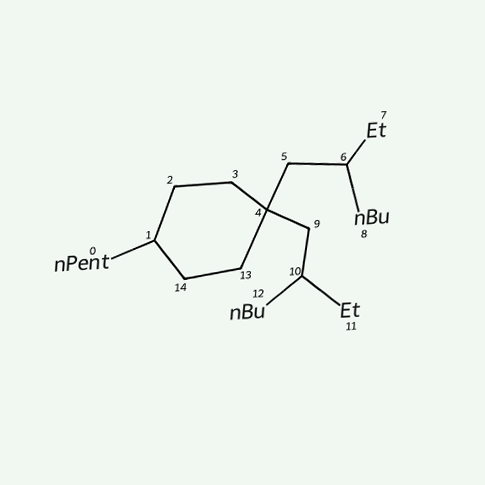 CCCCCC1CCC(CC(CC)CCCC)(CC(CC)CCCC)CC1